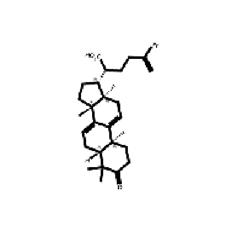 C=C(CCC(C(=O)O)[C@H]1CC[C@@]2(C)C3=CC[C@H]4C(C)(C)C(=O)CC[C@]4(C)C3=CC[C@]12C)C(C)C